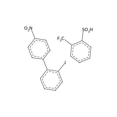 O=S(=O)(O)c1ccccc1C(F)(F)F.O=[N+]([O-])c1ccc(-c2ccccc2I)cc1